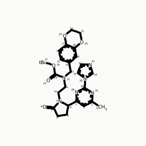 Cc1cc(C2CCC(=O)N2CCN(Cc2ccc3c(c2)OCCO3)C(=O)OC(C)(C)C)nc(-n2ccnc2)n1